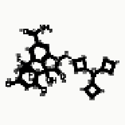 NC(=O)c1cc2c(c(C(F)(F)F)c1)C(O)(c1ccc(Cl)cc1Cl)C(=O)N2C[C@H]1C[C@H](N(C2CCC2)C2CCC2)C1